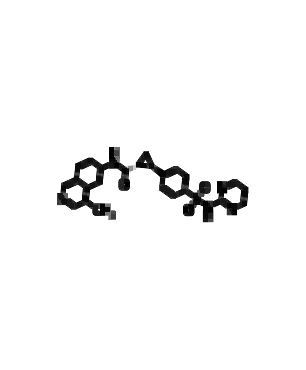 Cc1cncc2ccc(NC(=O)[C@@H]3C[C@H]3c3ccc(S(=O)(=O)Nc4ncccn4)cc3)cc12